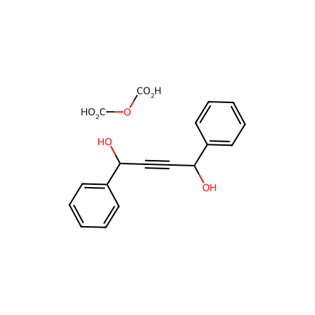 O=C(O)OC(=O)O.OC(C#CC(O)c1ccccc1)c1ccccc1